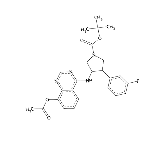 CC(=O)Oc1cccc2c(NC3CN(C(=O)OC(C)(C)C)CC3c3cccc(F)c3)ncnc12